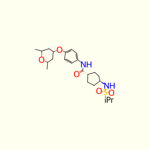 CC1CC(Oc2ccc(NC(=O)[C@H]3CC[C@H](NS(=O)(=O)C(C)C)CC3)cc2)CC(C)O1